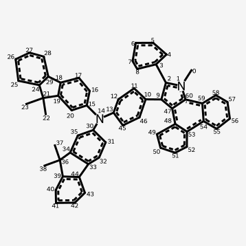 Cn1c(-c2ccccc2)c(-c2ccc(N(c3ccc4c(c3)C(C)(C)c3ccccc3-4)c3ccc4c(c3)C(C)(C)c3ccccc3-4)cc2)c2c3ccccc3c3ccccc3c21